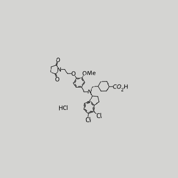 COc1cc(CN(CC2CCC(C(=O)O)CC2)[C@H]2CCc3c2ccc(Cl)c3Cl)ccc1OCCN1C(=O)CCC1=O.Cl